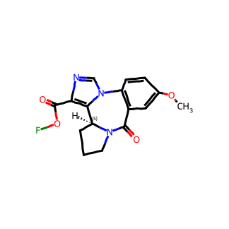 COc1ccc2c(c1)C(=O)N1CCC[C@H]1c1c(C(=O)OF)ncn1-2